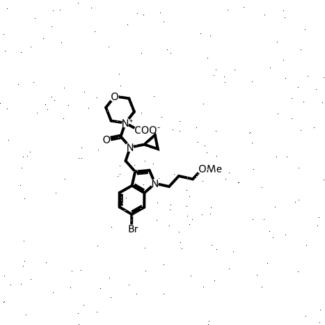 COCCCn1cc(CN(C(=O)[N+]2(C(=O)[O-])CCOCC2)C2CC2)c2ccc(Br)cc21